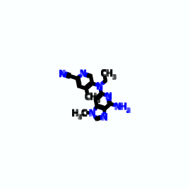 CCN(c1cc2c(ncn2C)c(N)n1)c1cnc(C#N)cc1C